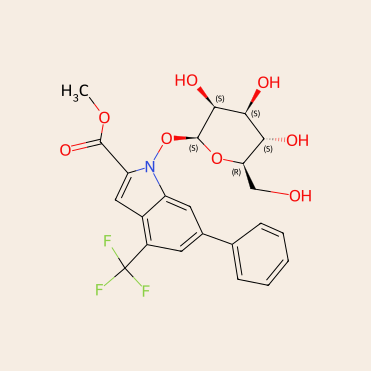 COC(=O)c1cc2c(C(F)(F)F)cc(-c3ccccc3)cc2n1O[C@@H]1O[C@H](CO)[C@@H](O)[C@H](O)[C@@H]1O